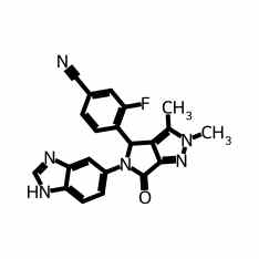 Cc1c2c(nn1C)C(=O)N(c1ccc3[nH]cnc3c1)C2c1ccc(C#N)cc1F